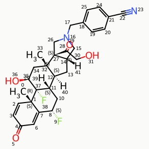 C[C@]12C=CC(=O)C=C1[C@@H](F)C[C@H]1[C@@H]3C[C@H]4CN(Cc5ccc(C#N)cc5)C[C@@]4(C(=O)CO)[C@@]3(C)C[C@H](O)[C@@]12F